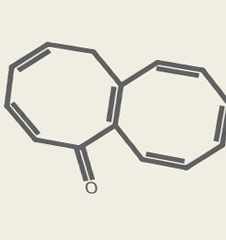 O=C1/C=C\C=C/CC2=C1/C=C\C=C/C=C\2